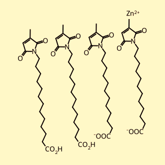 CC1=CC(=O)N(CCCCCCCCCCCC(=O)[O-])C1=O.CC1=CC(=O)N(CCCCCCCCCCCC(=O)[O-])C1=O.CC1=CC(=O)N(CCCCCCCCCCCCC(=O)O)C1=O.CC1=CC(=O)N(CCCCCCCCCCCCC(=O)O)C1=O.[Zn+2]